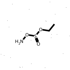 CCOS(=O)ON